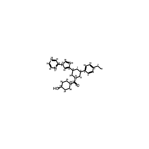 CCc1ccc(C2CC(c3cn(-c4cnccn4)cn3)CN(C(=O)N3CCC(O)CC3)C2)cc1